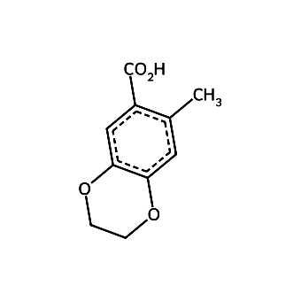 Cc1cc2c(cc1C(=O)O)OCCO2